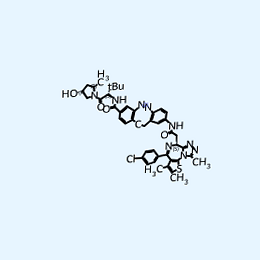 Cc1sc2c(c1C)C(c1ccc(Cl)cc1)=N[C@@H](CC(=O)Nc1ccc3c(c1)CCc1ccc(C(=O)N[C@H](C(=O)N4C[C@H](O)C[C@H]4C)C(C)(C)C)cc1/N=N\3)c1nnc(C)n1-2